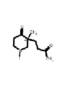 CC(=O)CC[C@]1(C)CN(I)CCC1=O